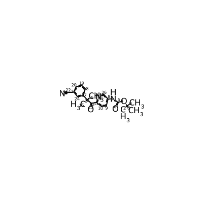 CC(C)(C)OC(=O)Nc1ccc(C(=O)C(C)(C)c2cccc(C#N)c2)nc1